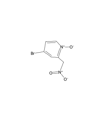 O=[N+]([O-])Cc1cc(Br)cc[n+]1[O-]